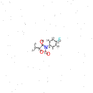 CC(C)=C1OC(=O)N(c2ccc(F)cc2)C1=O